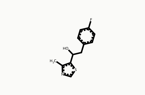 Cc1ncsc1C(O)Cc1ccc(F)cc1